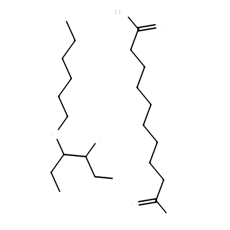 CCCCCCOC(CC)C(O)CO.O=C(O)CCCCCCCCC(=O)O